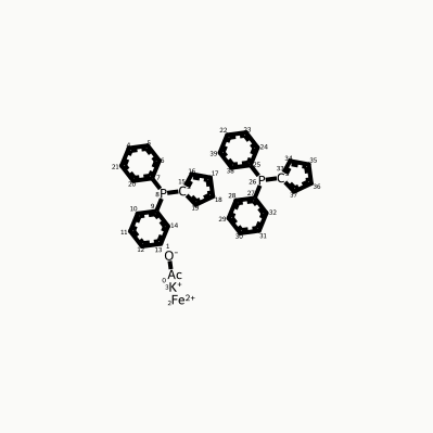 CC(=O)[O-].[Fe+2].[K+].c1ccc(P(c2ccccc2)[c-]2cccc2)cc1.c1ccc(P(c2ccccc2)[c-]2cccc2)cc1